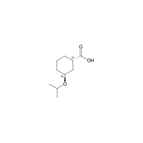 CC(C)O[C@H]1CCC[C@H](C(=O)O)C1